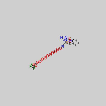 CCCN(OCC)C(=O)C1=Cc2sc(CCC3CN(CCOCCOCCOCCOCCOCCOCCOCCOCCOCCOCCC(=O)Oc4c(F)c(F)cc(F)c4F)C3)cc2N=C(N)C1